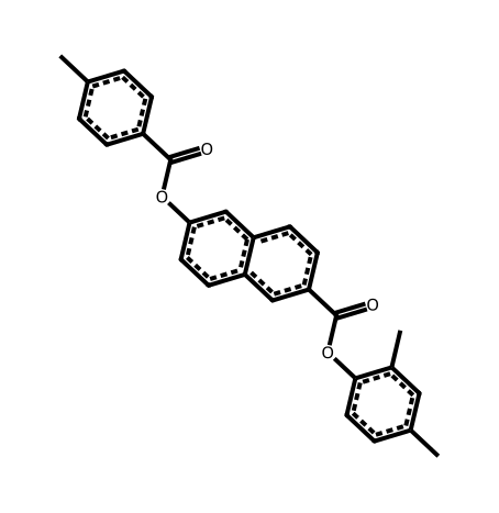 Cc1ccc(C(=O)Oc2ccc3cc(C(=O)Oc4ccc(C)cc4C)ccc3c2)cc1